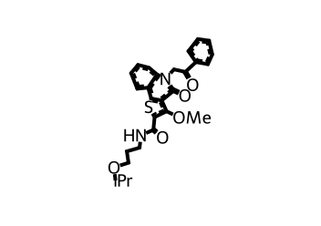 COc1c(C(=O)NCCCOC(C)C)sc2c1c(=O)n(CC(=O)c1ccccc1)c1ccccc21